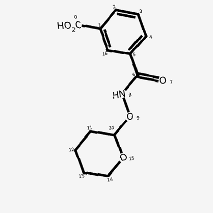 O=C(O)c1cccc(C(=O)NOC2CCCCO2)c1